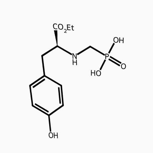 CCOC(=O)[C@H](Cc1ccc(O)cc1)NCP(=O)(O)O